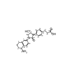 Cl.NC1CCCc2cc(N3CCN(c4ccc(CCC(=O)O)cc4)C3=O)ccc21